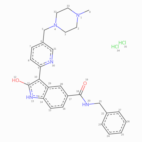 CN1CCN(Cc2ccc(-c3c(O)[nH]c4ccc(C(=O)NCc5ccccc5)cc34)nc2)CC1.Cl.Cl